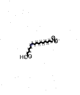 O=C(O)CCCC/C=C\CCCCCCCCC[N+](=O)[O-]